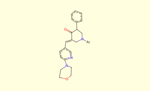 CC(=O)N1C/C(=C\c2ccc(N3CCOCC3)nc2)C(=O)C(c2ccccc2)C1